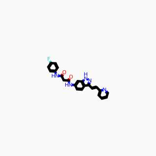 O=C(CC(=O)Nc1ccc2c(C=Cc3ccccn3)n[nH]c2c1)Nc1ccc(F)cc1